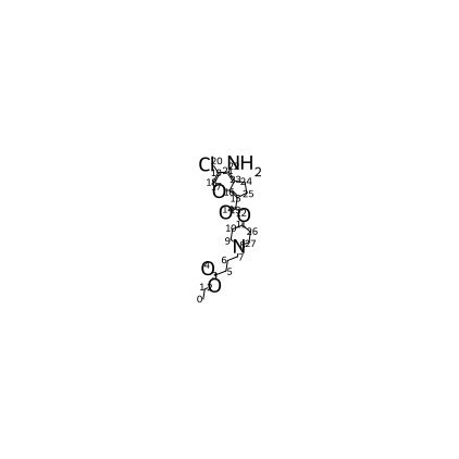 CCOC(=O)CCCN1CCC(OC(=O)C2=C3OC=C(Cl)C(N)=C3CC2)CC1